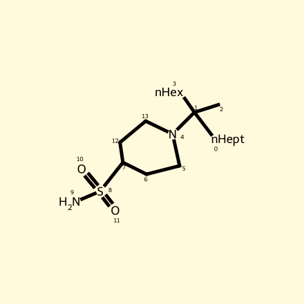 CCCCCCCC(C)(CCCCCC)N1CCC(S(N)(=O)=O)CC1